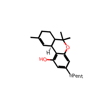 CCCCCc1cc(O)c2c(c1)OC(C)(C)C1CCC(C)=C[C@H]21